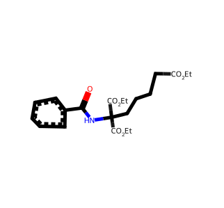 CCOC(=O)CCCCC(NC(=O)c1ccccc1)(C(=O)OCC)C(=O)OCC